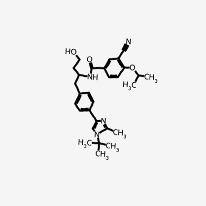 Cc1nc(-c2ccc(CC(CCO)NC(=O)c3ccc(OC(C)C)c(C#N)c3)cc2)cn1C(C)(C)C